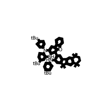 CC(C)(C)c1ccc(Nc2cc3c(cc2-c2c4c(cc5c2oc2ccccc25)N(c2ccc(C(C)(C)C)cc2)c2ccc(C(C)(C)C)cc2B4)-c2cc4c(cc2C3(C)C)C(C)(C)CCC4(C)C)cc1